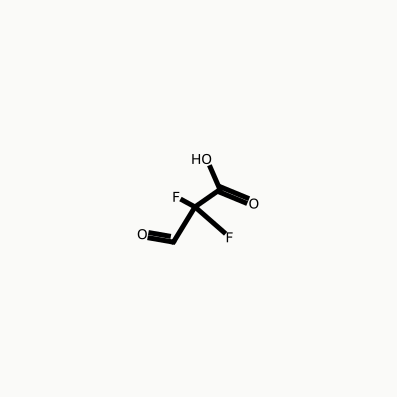 O=CC(F)(F)C(=O)O